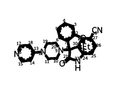 CCOc1ccccc1C1(N2CCN(c3ccncc3)CC2)C(=O)Nc2ccc(C#N)cc21